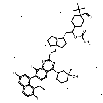 CCc1c(F)ccc2cc(O)cc(-c3ncc4c(N5CCC[C@@](C)(O)C5)nc(OC[C@@]56CCCN5[C@H](CC(OC(N)=O)C5CCC(C=O)(C(C)(C)C)CC5)CC6)nc4c3F)c12